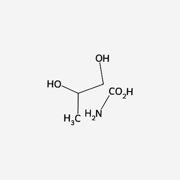 CC(O)CO.NC(=O)O